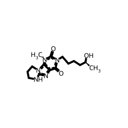 C[C@H](O)CCCCn1c(=O)c2nc3n(c2n(C)c1=O)CCCN3